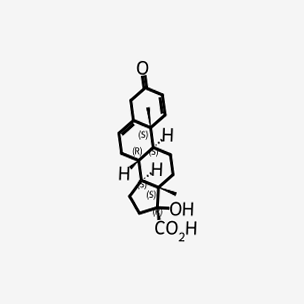 C[C@]12C=CC(=O)CC1=CC[C@@H]1[C@@H]2CC[C@@]2(C)[C@H]1CC[C@]2(O)C(=O)O